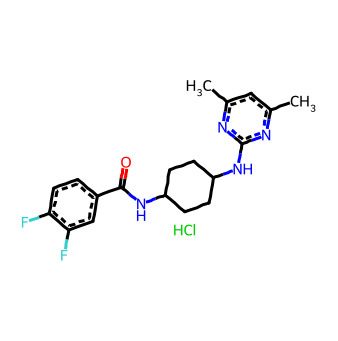 Cc1cc(C)nc(NC2CCC(NC(=O)c3ccc(F)c(F)c3)CC2)n1.Cl